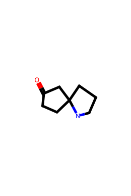 O=C1CCC2(CCC[N]2)C1